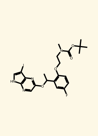 CC(Oc1cnc2[nH]cc(I)c2n1)c1cc(F)ccc1OCCN(C)C(=O)OC(C)(C)C